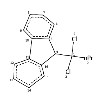 [CH2]CCC(Cl)(Cl)C1c2ccccc2-c2ccccc21